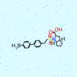 Bc1ccc(-c2ccc(CCS(=O)(=O)N3C(C(=O)O)C[C@H]4CCC[C@H]43)cc2)cc1